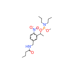 CCCC(=O)NCc1ccc([N+](=O)[O-])c(C(C)OP(OC)N(CCC)CCC)c1